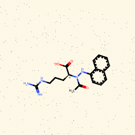 CC(=O)N(Nc1cccc2ccccc12)[C@@H](CCCNC(=N)N)C(=O)O